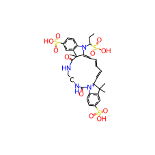 CCC(N1\C2=C/C=C/C=C/C3=[N+](C(=O)NCCNC(=O)C2(C)c2cc(S(=O)(=O)O)ccc21)c1ccc(S(=O)(=O)O)cc1C3(C)C)S(=O)(=O)O